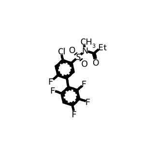 CCC(=O)N(C)S(=O)(=O)c1cc(-c2c(F)cc(F)c(F)c2F)c(F)cc1Cl